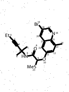 CCC#CC(C)(C)NC(=O)C(Oc1cc(C)c2ncc(Br)cc2c1)SC